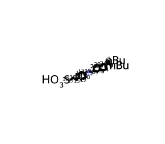 CCCCN(CCCC)c1ccc2cc(/C=C/c3cc[n+](CCCS(=O)(=O)O)cc3)ccc2c1